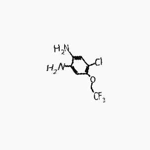 Nc1cc(Cl)c(OCC(F)(F)F)cc1N